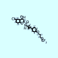 O=C(NC12CC(c3ccc(OCCCOC(F)(F)F)nc3)(C1)C2)[C@H]1C[C@@H](O)c2cc(Cl)ccc2O1